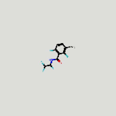 O=C(NC(F)C(F)F)c1c(F)ccc([N+](=O)[O-])c1F